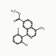 COC(=O)c1ccc2c(C)cnc(-c3c(F)cccc3Cl)c2c1